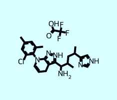 Cc1cc(C)c(N2C=CCc3c2n[nH]c3C(N)C(C)CC(C)c2c[nH]cn2)c(Cl)c1.O=C(O)C(F)(F)F